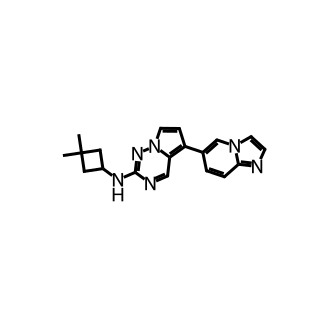 CC1(C)CC(Nc2ncc3c(-c4ccc5nccn5c4)ccn3n2)C1